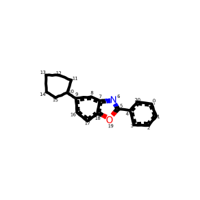 [c]1cccc(-c2nc3cc(C4CCCCC4)ccc3o2)c1